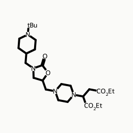 CCOC(=O)CC(C(=O)OCC)N1CCN(CC2CN(CC3CCN(C(C)(C)C)CC3)C(=O)O2)CC1